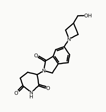 O=C1CCC(N2Cc3ccc(N4CC(CO)C4)cc3C2=O)C(=O)N1